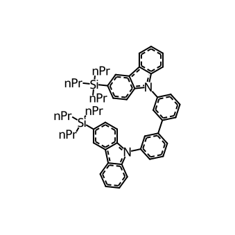 CCC[Si](CCC)(CCC)c1ccc2c(c1)c1ccccc1n2-c1cccc(-c2cccc(-n3c4ccccc4c4cc([Si](CCC)(CCC)CCC)ccc43)c2)c1